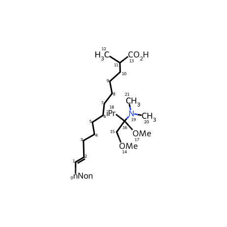 CCCCCCCCCC=CCCCCCCCCC(C)C(=O)O.COCC(OC)(C(C)C)N(C)C